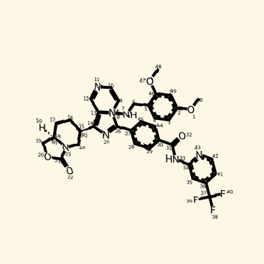 COc1ccc(CN[N+]23C=CN=CC2=C([C@@H]2CC[C@@H]4COC(=O)N4C2)N=C3c2ccc(C(=O)Nc3cc(C(F)(F)F)ccn3)cc2)c(OC)c1